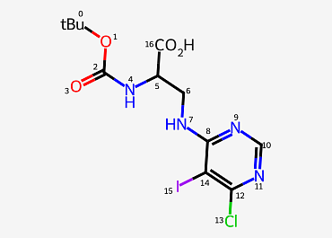 CC(C)(C)OC(=O)NC(CNc1ncnc(Cl)c1I)C(=O)O